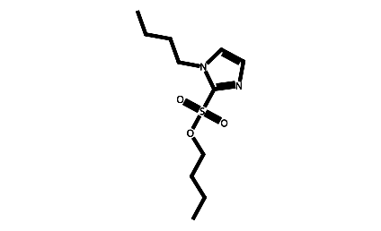 CCCCOS(=O)(=O)c1nccn1CCCC